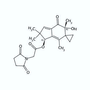 CC1=C2C(=CC(C)(C)[C@@H]2OC(=O)CN2C(=O)CCC2=O)C(=O)[C@](C)(O)C12CC2